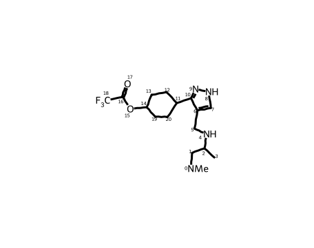 CNCC(C)NCc1c[nH]nc1C1CCC(OC(=O)C(F)(F)F)CC1